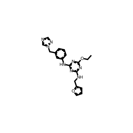 CCOc1nc(NCc2ccco2)nc(Nc2cccc(Cn3cncn3)c2)n1